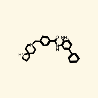 Nc1ccc(-c2ccccc2)cc1NC(=O)c1ccc(CN2CCC3(CCCN3)CC2)cc1